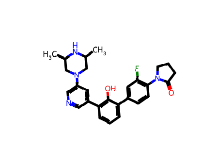 CC1CN(c2cncc(-c3cccc(-c4ccc(N5CCCC5=O)c(F)c4)c3O)c2)CC(C)N1